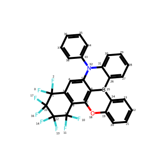 FC1(F)c2cc3c4c(c2C(F)(F)C(F)(F)C1(F)F)Oc1ccccc1B4c1ccccc1N3c1ccccc1